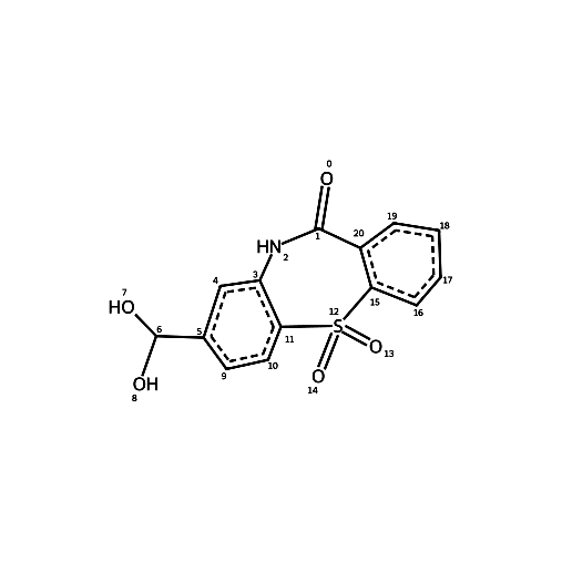 O=C1Nc2cc(C(O)O)ccc2S(=O)(=O)c2ccccc21